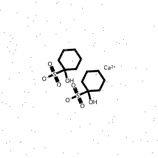 O=S(=O)([O-])C1(O)CCCCC1.O=S(=O)([O-])C1(O)CCCCC1.[Ca+2]